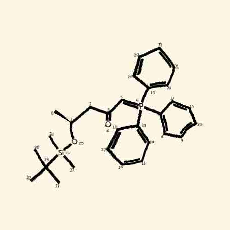 C[C@@H](CC(=O)C=P(c1ccccc1)(c1ccccc1)c1ccccc1)O[Si](C)(C)C(C)(C)C